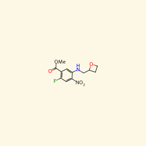 COC(=O)c1cc(NCC2CCO2)c([N+](=O)[O-])cc1F